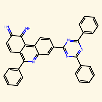 N=C1C=Cc2c(-c3ccccc3)nc3cc(-c4nc(-c5ccccc5)nc(-c5ccccc5)n4)ccc3c2C1=N